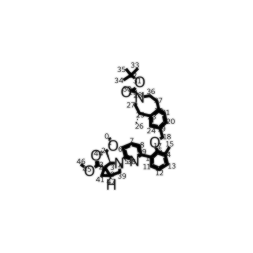 COC[C@H]1N(c2cccc(-c3cccc(C)c3OCc3ccc4c(c3)[C@H](C)CN(C(=O)OC(C)(C)C)CC4)n2)C[C@@H]2C[C@@]21C(=O)OC